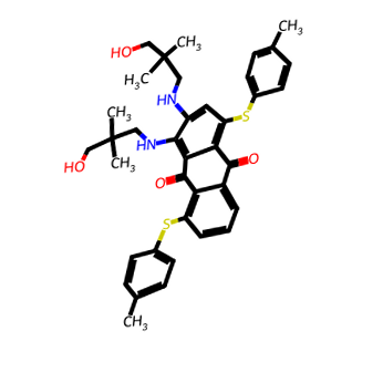 Cc1ccc(Sc2cccc3c2C(=O)c2c(NCC(C)(C)CO)c(NCC(C)(C)CO)cc(Sc4ccc(C)cc4)c2C3=O)cc1